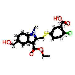 CCOC(=O)c1c(CSc2ccc(Cl)c(C(=O)O)c2)n(C)c2ccc(CO)cc12